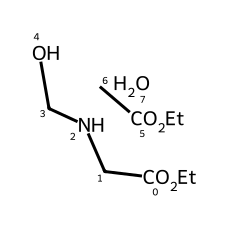 CCOC(=O)CNCO.CCOC(C)=O.O